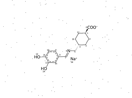 O=C([O-])[C@H]1CC[C@H](CN=Cc2ccc(O)c(O)c2)CC1.[Na+]